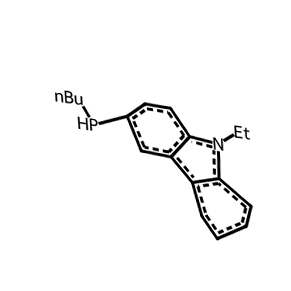 CCCCPc1ccc2c(c1)c1ccccc1n2CC